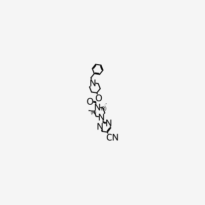 C[C@@H]1CN(c2ncc(C#N)cn2)C[C@@H](C)N1C(=O)OC1CCN(Cc2ccccc2)CC1